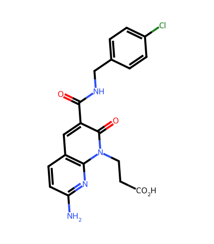 Nc1ccc2cc(C(=O)NCc3ccc(Cl)cc3)c(=O)n(CCC(=O)O)c2n1